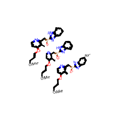 COCCCOc1ccnc(C[S+]([O-])c2nc3ccccc3[n-]2)c1C.COCCCOc1ccnc(C[S+]([O-])c2nc3ccccc3[nH]2)c1C.COCCCOc1ccnc(C[S+]([O-])c2nc3ccccc3[nH]2)c1C.[Na+]